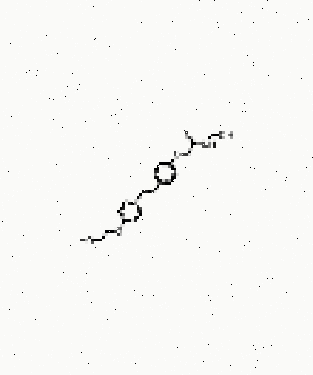 O=C(COc1ccc(/C=C/c2ccc(OCCO)cc2)cc1)NCO